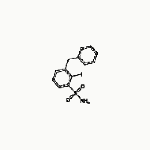 NS(=O)(=O)c1cccc(Cc2ccccc2)c1I